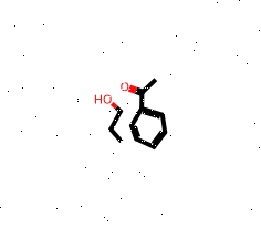 CC(=O)c1ccccc1.CCCO